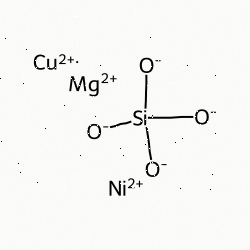 [Cu+2].[Mg+2].[Ni+2].[O-][Si]([O-])([O-])[O-]